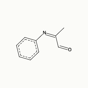 CC(C=O)=Nc1ccccc1